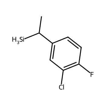 CC([SiH3])c1ccc(F)c(Cl)c1